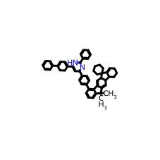 CC1(C)C2=CC3C4CCCC=C4C4(CCCCC4)C3C=C2c2c(-c3ccc(C4=NC(c5ccccc5)NC(C5=CC=C(c6ccccc6)CC5)=C4)cc3)cccc21